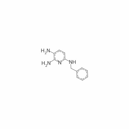 Nc1ccc(NCc2ccccc2)nc1N